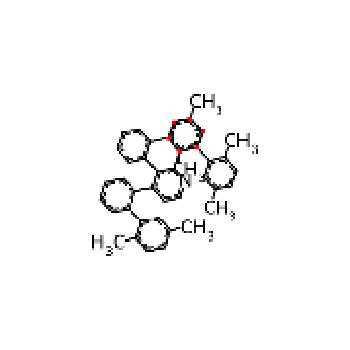 Cc1ccc(C)c(-c2ccccc2-c2ccnc(-c3ccccc3-c3cc(C)ccc3C)c2-c2ccccc2-c2cc(C)ccc2C)c1